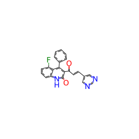 O=C(/C=C/c1cncnc1)c1c(-c2ccccc2)c2c(F)cccc2[nH]c1=O